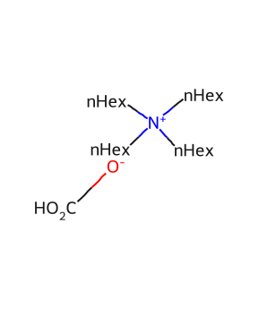 CCCCCC[N+](CCCCCC)(CCCCCC)CCCCCC.O=C([O-])O